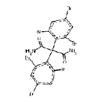 NC(=O)C(C(N)=O)(c1c(Br)cc(Br)cc1Br)c1c(Br)cc(Br)cc1Br